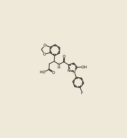 O=C(O)CC(NC(=O)c1cc(O)n(-c2ccc(F)cc2)n1)c1cccc2c1OCO2